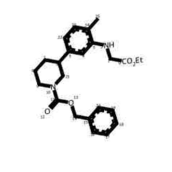 CCOC(=O)CNc1cc(C2CCCN(C(=O)OCc3ccccc3)C2)ccc1C